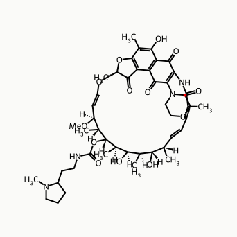 CO[C@H]1/C=C/O[C@@]2(C)Oc3c(C)c(O)c4c(c3C2=O)C(=O)C(N2CCOCC2)=C(NC(=O)/C(C)=C\C=C\[C@H](C)[C@H](O)[C@@H](C)[C@@H](O)[C@@H](C)[C@H](OC(=O)NCCC2CCCN2C)[C@@H]1C)C4=O